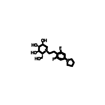 OC[C@@H]1[C@@H](O)[C@H](O)[C@@H](O)CN1CCc1c(F)cc(N2CCCC2)cc1F